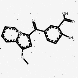 COc1cc(C(=O)c2ccc(N)c(C(=O)O)c2)n2ccccc12